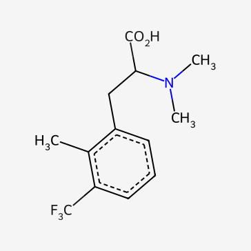 Cc1c(CC(C(=O)O)N(C)C)cccc1C(F)(F)F